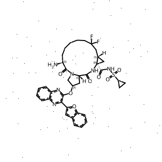 N[C@H]1CCCCCC(F)(F)C[C@@H]2C[C@@]2(C(=O)NS(=O)(=O)C2CC2)NC(=O)[C@@H]2C[C@@H](Oc3nc4ccccc4nc3-c3cc4ccccc4o3)CN2C1=O